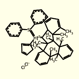 CC1=CC=CC2[CH]([Hf+2]([C]3=CC=CC3)=[Si](c3ccccc3)c3ccccc3)C3(C)C4(C)C=CC=CC4(C)C4(C)C=CC=CC4(C)C3(C)C12C.[Cl-].[Cl-]